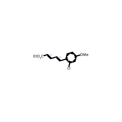 CCOC(=O)/C=C/C=C/c1ccc(OC)cc1Cl